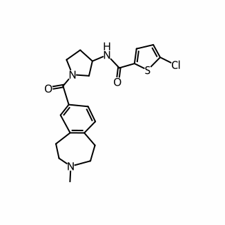 CN1CCc2ccc(C(=O)N3CCC(NC(=O)c4ccc(Cl)s4)C3)cc2CC1